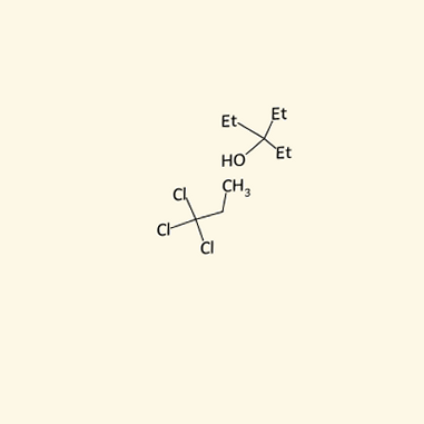 CCC(Cl)(Cl)Cl.CCC(O)(CC)CC